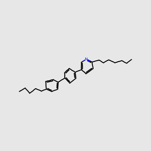 CCCCCCCc1ccc(-c2ccc(-c3ccc(CCCCC)cc3)cc2)cn1